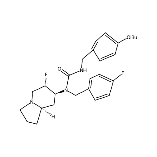 CC(C)COc1ccc(CNC(=O)N(Cc2ccc(F)cc2)[C@H]2C[C@H]3CCCN3C[C@@H]2F)cc1